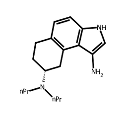 CCCN(CCC)[C@@H]1CCc2ccc3[nH]cc(N)c3c2C1